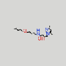 CCCCCOCCCCCNC(O)C/C=C\N1CN=C(C)C=C1C